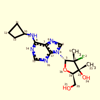 C[C@]1(F)[C@@H](n2cnc3c(NC4CCC4)ncnc32)O[C@H](CO)[C@@]1(C)O